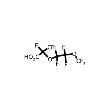 O=C(O)C(F)(OC(F)(F)C(F)(F)OC(F)(F)F)C(F)(F)F